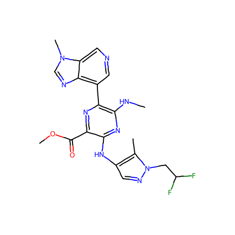 CNc1nc(Nc2cnn(CC(F)F)c2C)c(C(=O)OC)nc1-c1cncc2c1ncn2C